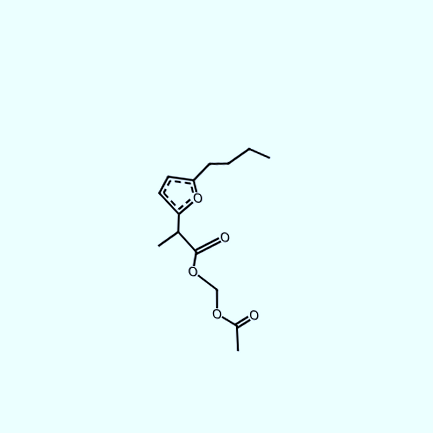 CCCCc1ccc(C(C)C(=O)OCOC(C)=O)o1